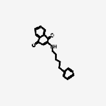 O=C1C=C(NCCCCCc2ccccc2)C(=O)c2ccccc21